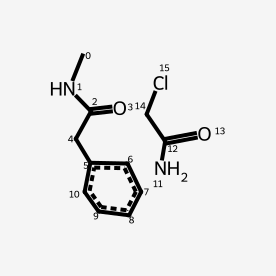 CNC(=O)Cc1ccccc1.NC(=O)CCl